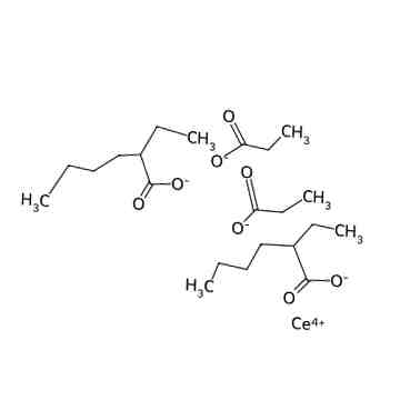 CCC(=O)[O-].CCC(=O)[O-].CCCCC(CC)C(=O)[O-].CCCCC(CC)C(=O)[O-].[Ce+4]